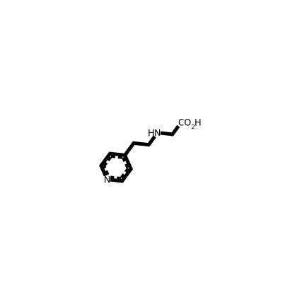 O=C(O)CNCCc1ccncc1